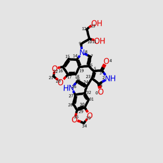 O=C1NC(=O)C(c2cn(CC(O)CO)c3cc4c(cc23)OCO4)=C1c1c[nH]c2cc3c(cc12)OCO3